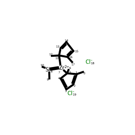 CC1=CC=C[C]1(C)[Zr+2](=[Si](C)C)[C]1(C)C=CC=C1C.[Cl-].[Cl-]